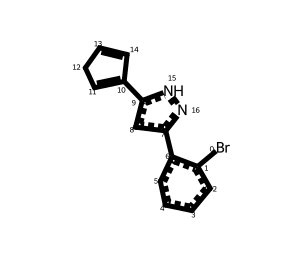 Brc1ccccc1-c1cc(C2=CCC=C2)[nH]n1